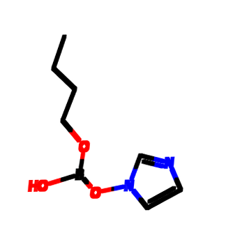 CCCCOB(O)On1ccnc1